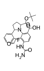 CC(C)(C)OC(=O)C1CCC(c2ccccc2F)N1c1c(C(=O)O)ccc(NC(N)=O)c1CC=O